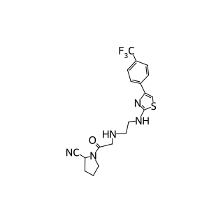 N#CC1CCCN1C(=O)CNCCNc1nc(-c2ccc(C(F)(F)F)cc2)cs1